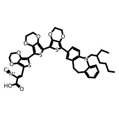 [C-]#[N+]/C(=C\c1sc(-c2sc(-c3sc(-c4ccc5c(c4)CCc4ccccc4N5CC(CC)CCCC)c4c3OCCO4)c3c2OCCO3)c2c1OCCO2)C(=O)O